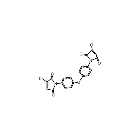 O=C1C=C(Cl)C(=O)N1c1ccc(Oc2ccc(N3C(=O)C=C(Cl)C3=O)cc2)cc1